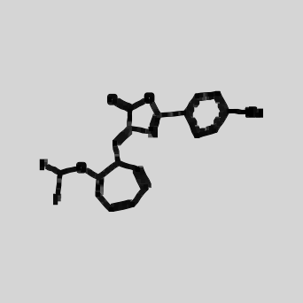 CC(C)(C)c1ccc(C2=NC(=CC3C#CC=CC=C3OC(F)F)C(=O)O2)cc1